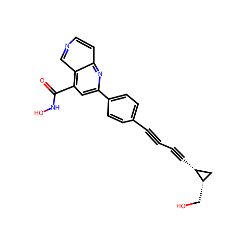 O=C(NO)c1cc(-c2ccc(C#CC#C[C@@H]3C[C@@H]3CO)cc2)nc2ccncc12